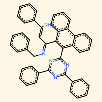 N/C(=C\C(=N/Cc1ccccc1)c1c(-c2nc(-c3ccccc3)nc(-c3ccccc3)n2)c2ccccc2c2ccccc12)c1ccccc1